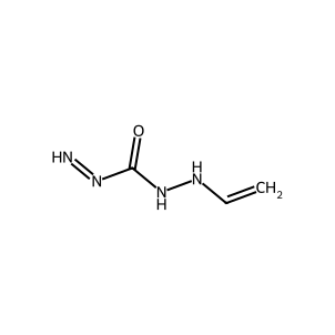 C=CNNC(=O)N=N